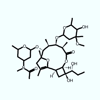 CC[C@@H](O)[C@]1(O)C[C@H]2C3=C(C)C[C@@](C)(O3)[C@H](OC3CC(N(C)C(C)=O)CC(C)O3)[C@@H](C)[C@@H](OC3CC(C)(OC)C(O)C(C)O3)[C@@H](C)C(=O)O[C@H]21